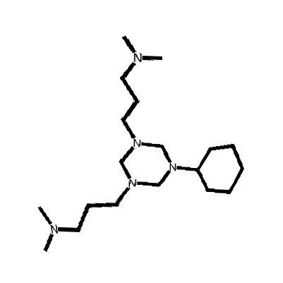 CN(C)CCCN1CN(CCCN(C)C)CN(C2CCCCC2)C1